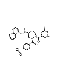 Cc1cc(C)cc(C(=O)N2CC[C@H](NCc3ccnc4ccccc34)C[C@@H]2C(=O)c2ccc([N+](=O)[O-])cc2)c1